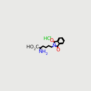 Cl.N[C@H](CCCCN1C(=O)c2ccccc2C1=O)C(=O)O